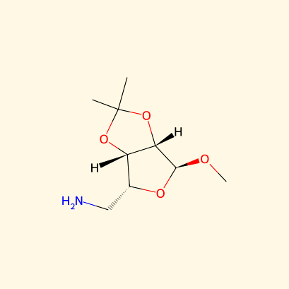 CO[C@H]1O[C@H](CN)[C@@H]2OC(C)(C)O[C@H]12